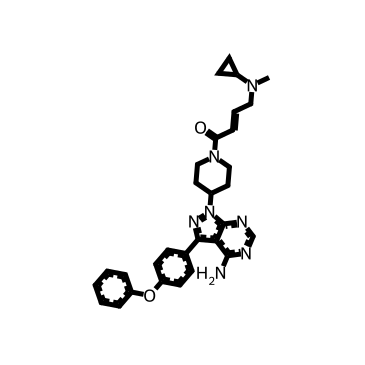 CN(CC=CC(=O)N1CCC(n2nc(-c3ccc(Oc4ccccc4)cc3)c3c(N)ncnc32)CC1)C1CC1